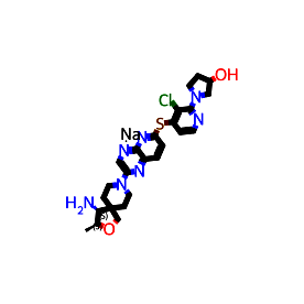 C[C@@H]1OCC2(CCN(c3cnc4nc(Sc5ccnc(N6CCC(O)C6)c5Cl)ccc4n3)CC2)[C@@H]1N.[Na]